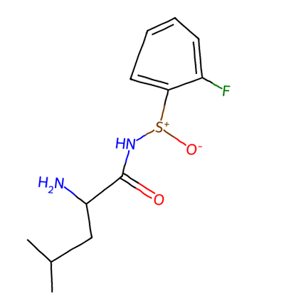 CC(C)CC(N)C(=O)N[S+]([O-])c1ccccc1F